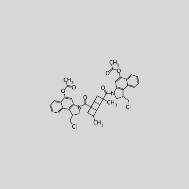 CC(=O)Oc1cc2c(c3ccccc13)C(CCl)CN2C(=O)C1(C)C2C3C(C)C4C1C2C34C(=O)N1CC(CCl)c2c1cc(OC(C)=O)c1ccccc21